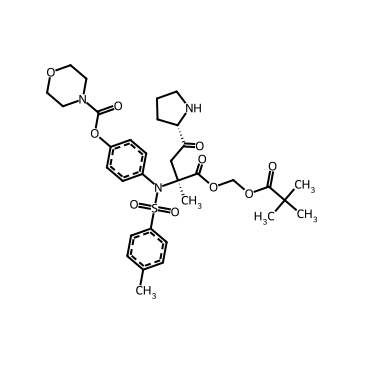 Cc1ccc(S(=O)(=O)N(c2ccc(OC(=O)N3CCOCC3)cc2)[C@@](C)(CC(=O)[C@@H]2CCCN2)C(=O)OCOC(=O)C(C)(C)C)cc1